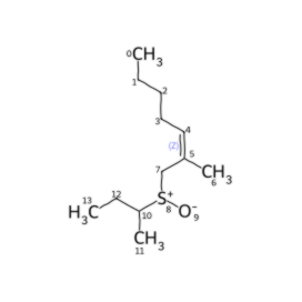 CCCC/C=C(/C)C[S+]([O-])C(C)CC